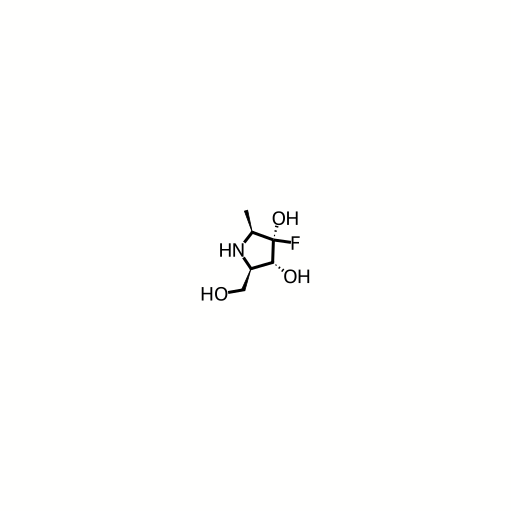 C[C@@H]1N[C@H](CO)[C@@H](O)[C@]1(O)F